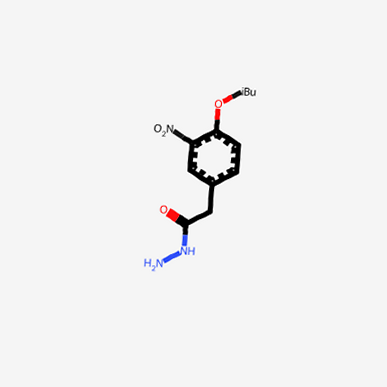 CCC(C)Oc1ccc(CC(=O)NN)cc1[N+](=O)[O-]